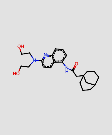 O=C(CC12CCCC(CCC1)C2)Nc1cccc2nc(N(CCO)CCO)ccc12